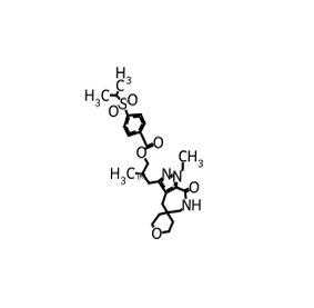 CCn1nc(C[C@@H](C)COC(=O)c2ccc(S(=O)(=O)C(C)C)cc2)c2c1C(=O)NCC1(CCOCC1)C2